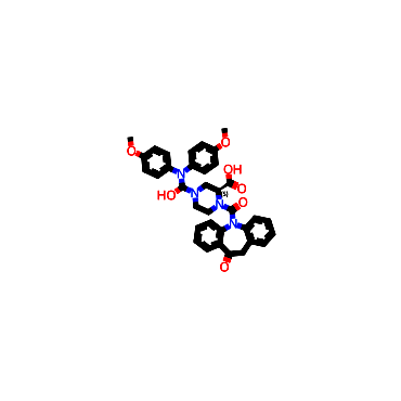 COc1ccc(N(c2ccc(OC)cc2)C(O)N2CCN(C(=O)N3c4ccccc4CC(=O)c4ccccc43)[C@H](C(=O)O)C2)cc1